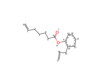 C=CCCCCC(=O)Oc1ccccc1CC=C